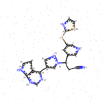 N#CCC(c1cncc(Sc2nccs2)c1)n1cc(-c2ncnc3[nH]ccc23)cn1